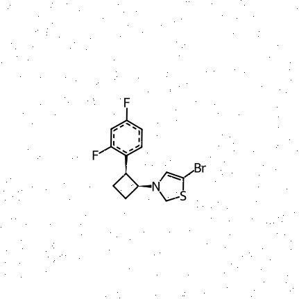 Fc1ccc([C@@H]2CC[C@@H]2N2C=C(Br)SC2)c(F)c1